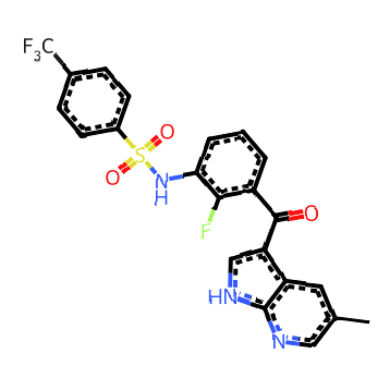 Cc1cnc2[nH]cc(C(=O)c3cccc(NS(=O)(=O)c4ccc(C(F)(F)F)cc4)c3F)c2c1